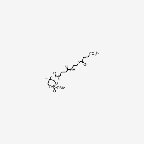 COP1(=O)OCC(C)(C)[C@H](C(=O)NCCC(=O)NCCSC(=O)CCC(=O)O)O1